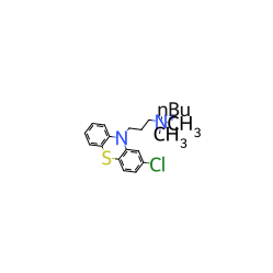 CCCC[N+](C)(C)CCCN1c2ccccc2Sc2ccc(Cl)cc21